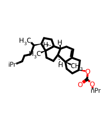 CCCOC(=O)O[C@H]1CC[C@@]2(C)C(=CC[C@H]3[C@@H]4CC[C@H](C(C)CCCC(C)C)[C@@]4(C)CC[C@@H]32)C1